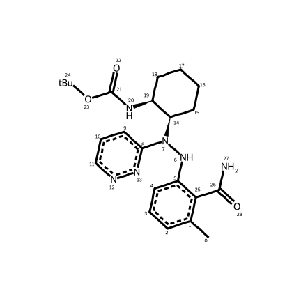 Cc1cccc(NN(c2cccnn2)[C@@H]2CCCC[C@@H]2NC(=O)OC(C)(C)C)c1C(N)=O